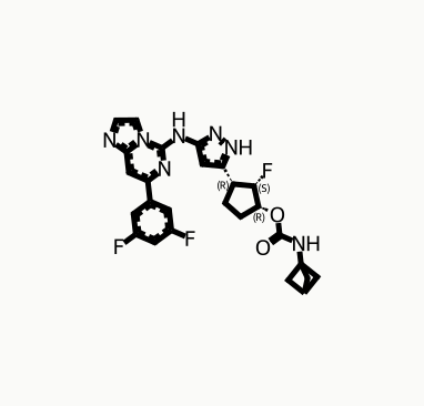 O=C(NC12CC(C1)C2)O[C@@H]1CC[C@H](c2cc(Nc3nc(-c4cc(F)cc(F)c4)cc4nccn34)n[nH]2)[C@@H]1F